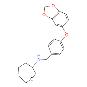 c1cc(Oc2ccc3c(c2)OCO3)ccc1CNC1CCCCCC1